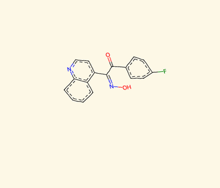 O=C(C(=NO)c1ccnc2ccccc12)c1ccc(F)cc1